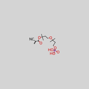 C=C(C#N)C(=O)OC(C)(C)CCOC(C)(C)CCOP(=O)(O)O